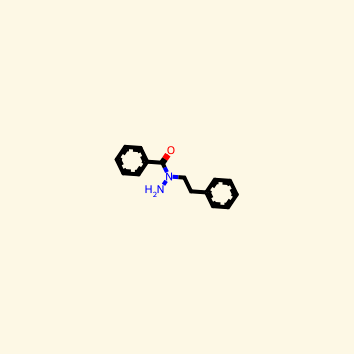 NN(CCc1ccccc1)C(=O)c1ccccc1